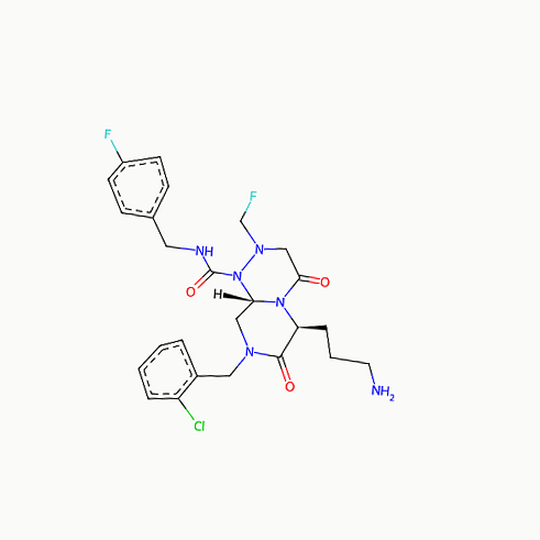 NCCC[C@H]1C(=O)N(Cc2ccccc2Cl)C[C@H]2N1C(=O)CN(CF)N2C(=O)NCc1ccc(F)cc1